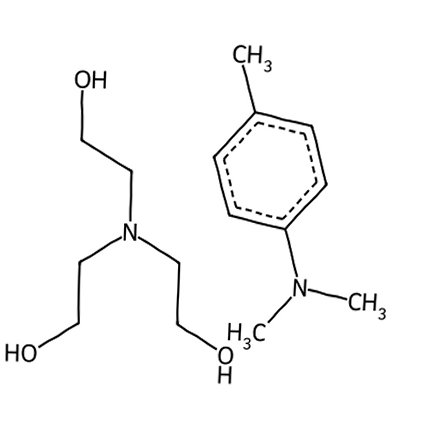 Cc1ccc(N(C)C)cc1.OCCN(CCO)CCO